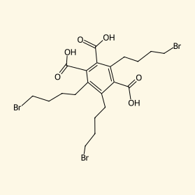 O=C(O)c1c(CCCCBr)c(CCCCBr)c(C(=O)O)c(C(=O)O)c1CCCCBr